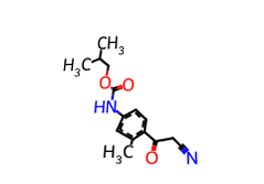 Cc1cc(NC(=O)OCC(C)C)ccc1C(=O)CC#N